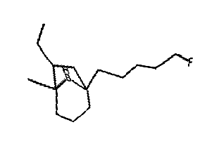 CCC1CC2(CCCCCF)BC1(C)CCC2